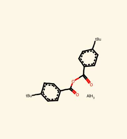 CC(C)(C)c1ccc(C(=O)OC(=O)c2ccc(C(C)(C)C)cc2)cc1.[AlH3]